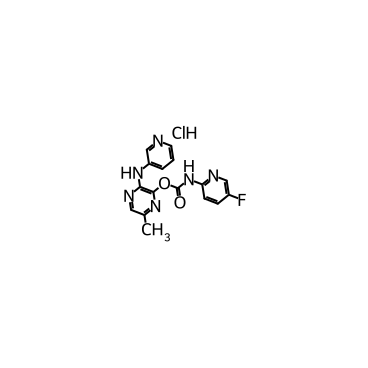 Cc1cnc(Nc2cccnc2)c(OC(=O)Nc2ccc(F)cn2)n1.Cl